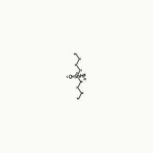 CCC[CH2][Sn](=[O])[CH2]CCC.F